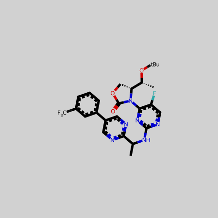 CC(Nc1ncc(F)c(N2C(=O)OC[C@@H]2[C@@H](C)OC(C)(C)C)n1)c1ncc(-c2cccc(C(F)(F)F)c2)cn1